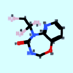 BCC(B)(B)N1C(=O)NCOc2cccnc21